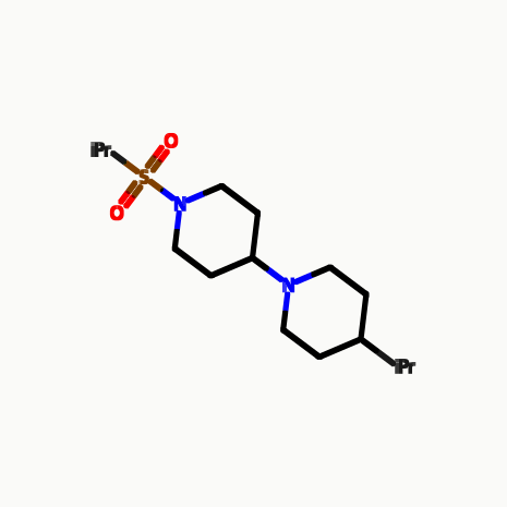 CC(C)C1CCN(C2CCN(S(=O)(=O)C(C)C)CC2)CC1